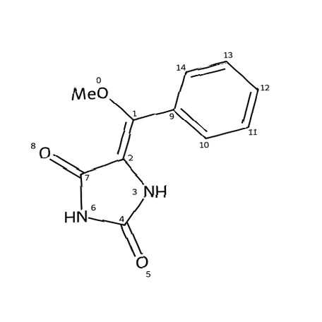 COC(=C1NC(=O)NC1=O)c1ccccc1